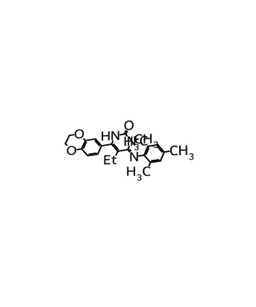 CCc1c(-c2ccc3c(c2)OCCO3)[nH]c(=O)n(C)c1=Nc1c(C)cc(C)cc1C